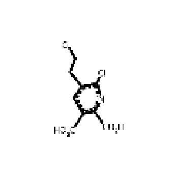 O=C(O)c1cc(CCCl)c(Cl)nc1C(=O)O